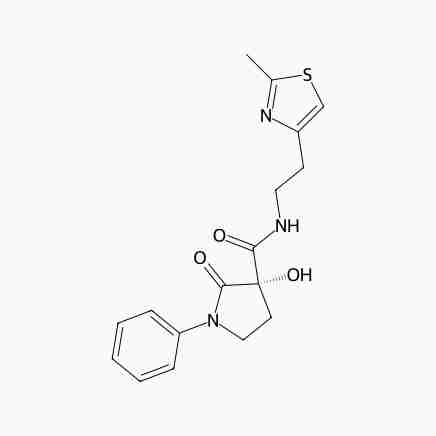 Cc1nc(CCNC(=O)[C@@]2(O)CCN(c3ccccc3)C2=O)cs1